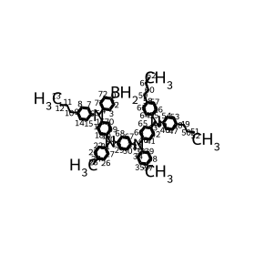 Bc1ccc(N(c2ccc(CCCC)cc2)c2ccc(N(c3ccc(C)cc3)c3ccc(N(c4ccc(C)cc4)c4ccc(N(c5ccc(CCCC)cc5)c5ccc(CCCC)cc5)cc4)cc3)cc2)cc1